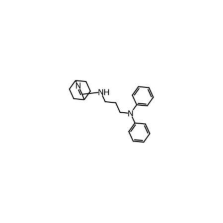 c1ccc(N(CCCNC2=NC3CCC2CC3)c2ccccc2)cc1